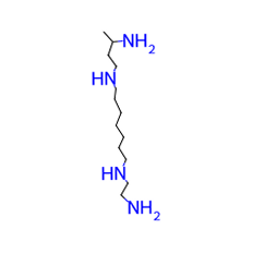 CC(N)CCNCCCCCCCNCCN